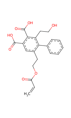 C=CC(=O)OCCc1cc(C(=O)O)c(C(=O)O)c(CCO)c1-c1ccccc1